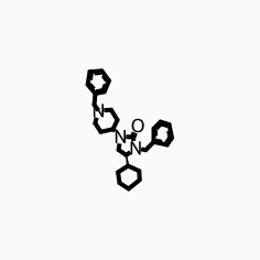 O=C1N(C2CCN(Cc3ccccc3)CC2)C[C@H](C2CCCCC2)N1Cc1ccccc1